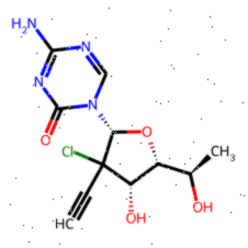 C#CC1(Cl)[C@@H](O)[C@@H]([C@@H](C)O)O[C@H]1n1cnc(N)nc1=O